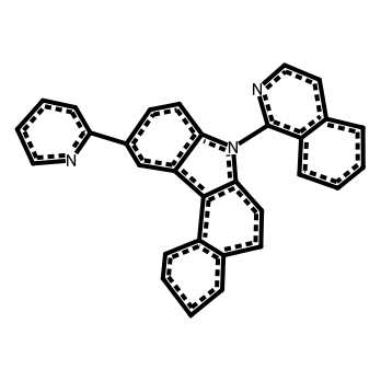 c1ccc(-c2ccc3c(c2)c2c4ccccc4ccc2n3-c2nccc3ccccc23)nc1